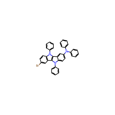 Brc1ccc2c(c1)c1c(c3cc(N(c4ccccc4)c4ccccc4)ccc3n1-c1ccccc1)n2-c1ccccc1